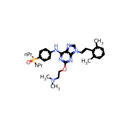 CCCP(=O)(CCC)c1ccc(Nc2nc(OCCN(C)C)nc3c2ncn3C=Cc2c(C)cccc2C)cc1